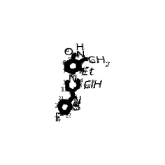 C=C1NC(=O)c2ccc(N3CCC(c4noc5cc(F)ccc45)CC3)c(CC)c21.Cl